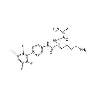 C[C@H](N)C(=O)N[C@@H](CCCCN)C(=O)Nc1ccc(-c2c(F)c(F)nc(F)c2F)cc1